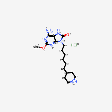 CCCCOc1nc(N)c2[nH]c(=O)n(CCCCCCC3CCNCC3)c2n1.Cl